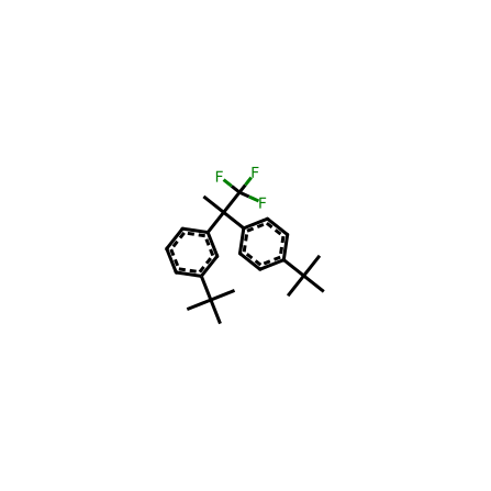 CC(C)(C)c1ccc(C(C)(c2cccc(C(C)(C)C)c2)C(F)(F)F)cc1